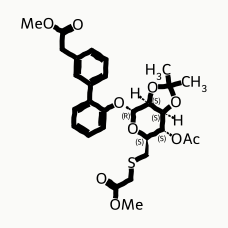 COC(=O)CSC[C@H]1O[C@H](Oc2ccccc2-c2cccc(CC(=O)OC)c2)[C@H]2OC(C)(C)O[C@H]2[C@@H]1OC(C)=O